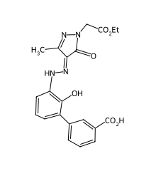 CCOC(=O)CN1N=C(C)C(=NNc2cccc(-c3cccc(C(=O)O)c3)c2O)C1=O